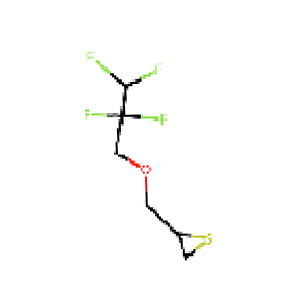 FC(F)C(F)(F)COCC1CS1